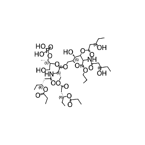 CCCO[C@H]1OC(CO[C@H](OC(CO)[C@H](C)OP(=O)(O)O)[C@H](COC(=O)C[C@@H](CC)OC(=O)CC)NC(=O)C[C@@H](CC)OC(=O)CC)[C@@H](O)C(OC(=O)C[C@H](O)CC)C1NC(=O)C[C@H](O)CC